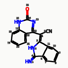 N#CC(=C1NC(=N)c2ccccc21)c1nc(=O)[nH]c2ccccc12